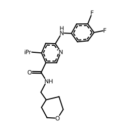 CC(C)c1cc(Nc2ccc(F)c(F)c2)ncc1C(=O)NCC1CCOCC1